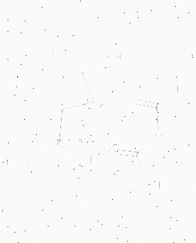 C=C(CCC(C)O)C(=O)O.CC(=O)OC(C)=O